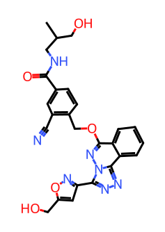 CC(CO)CNC(=O)c1ccc(COc2nn3c(-c4cc(CO)on4)nnc3c3ccccc23)c(C#N)c1